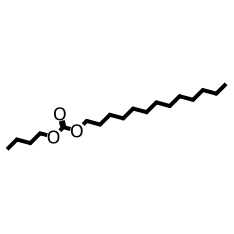 CCCCCCCCCCCCCOC(=O)OCCCC